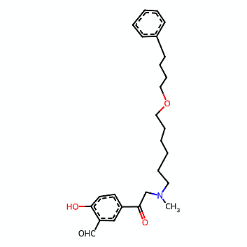 CN(CCCCCCOCCCCc1ccccc1)CC(=O)c1ccc(O)c(C=O)c1